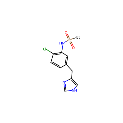 CCS(=O)(=O)Nc1cc(Cc2c[nH]cn2)ccc1Cl